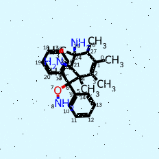 CC1=C(C)C(C)(C(ON)(c2ccccc2)c2ccccc2)C(C)(N)C(C)(N)C1C